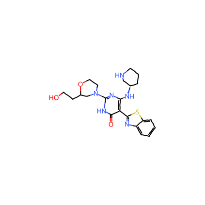 O=c1[nH]c(N2CCOC(CCO)C2)nc(N[C@@H]2CCCNC2)c1-c1nc2ccccc2s1